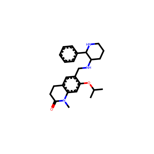 CC(C)Oc1cc2c(cc1CNC1CCCNC1c1ccccc1)CCC(=O)N2C